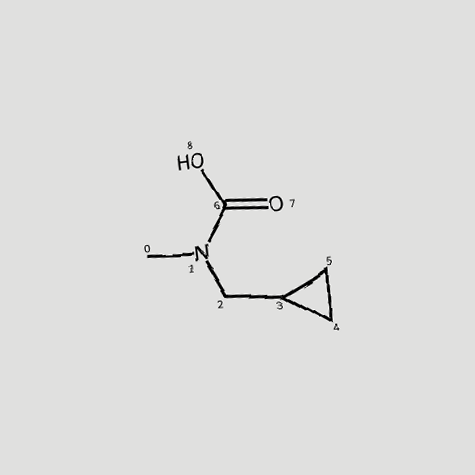 CN(CC1CC1)C(=O)O